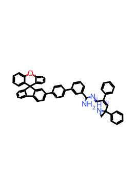 NC(/N=C/C(=C\C1(c2ccccc2)CN1)c1ccccc1)c1cccc(-c2ccc(-c3ccc4c(c3)C3(c5ccccc5Oc5ccccc53)c3ccccc3-4)cc2)c1